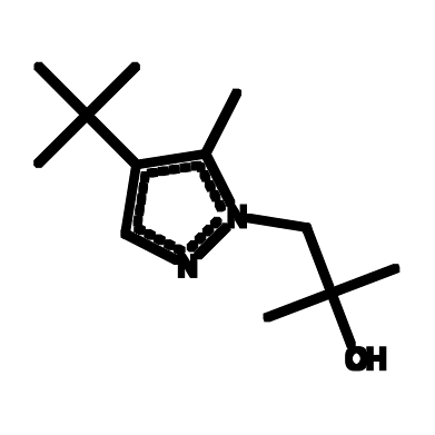 Cc1c(C(C)(C)C)cnn1CC(C)(C)O